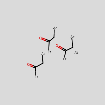 CCC(=O)CC(C)=O.CCC(=O)CC(C)=O.CCC(=O)CC(C)=O.[Al]